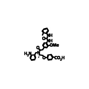 COc1cc(CC(=O)N(Cc2ccccc2N)[C@@H](C)COc2ccc(C(=O)O)cc2)ccc1NC(=O)Nc1ccccc1C